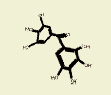 O=C(c1cc(O)c(O)c(O)c1)c1cc(O)c(O)c(O)c1O